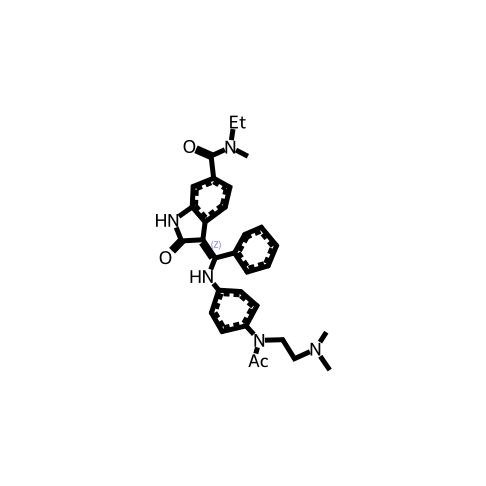 CCN(C)C(=O)c1ccc2c(c1)NC(=O)/C2=C(\Nc1ccc(N(CCN(C)C)C(C)=O)cc1)c1ccccc1